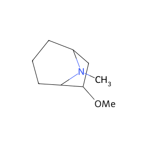 COC1CC2CCCC1N2C